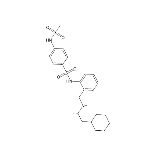 CC(CC1CCCCC1)NCc1ccccc1NS(=O)(=O)c1ccc(NS(C)(=O)=O)cc1